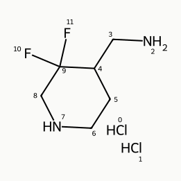 Cl.Cl.NCC1CCNCC1(F)F